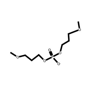 COCCCOP([O])(=O)OCCCOC